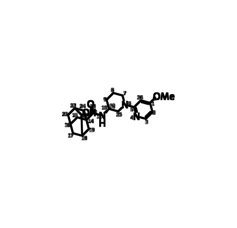 COc1ccnc(N2CCC[C@H](NC(=O)C34CC5CC(C3)C(O)C(C5)C4)C2)c1